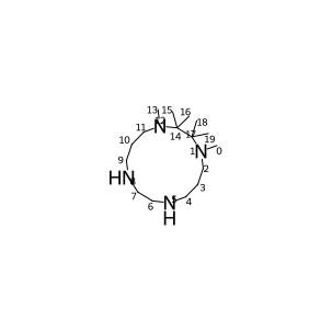 CN1CCCNCCNCCCN(C)C(C)(C)C1(C)C